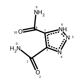 NC(=O)c1nn[nH]c1C(N)=O